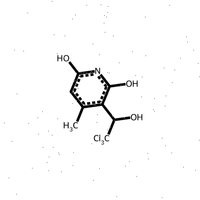 Cc1cc(O)nc(O)c1C(O)C(Cl)(Cl)Cl